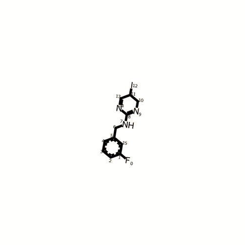 Fc1cccc(CNC2=NCC(I)C=N2)c1